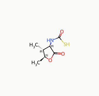 C[C@H]1[C@H](C)OC(=O)[C@@H]1NC(=O)S